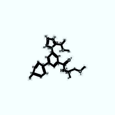 COC[C@@H](C)NC(=O)c1cc(-c2ccc(C)cc2)cc(-n2nnnc2C(C)OC)c1